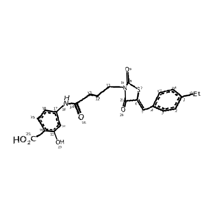 CCc1ccc(/C=C2\SC(=O)N(CCCC(=O)Nc3ccc(C(=O)O)c(O)c3)C2=O)cc1